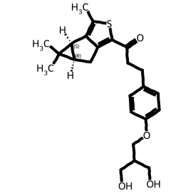 Cc1sc(C(=O)CCc2ccc(OCC(CO)CO)cc2)c2c1[C@H]1[C@@H](C2)C1(C)C